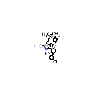 C=C(/C=C\C(=C/C)OCCCNC(C)C)C1c2[nH]c3ccc(Cl)cc3c2CCN1C(=O)Oc1ccc(Cl)cc1